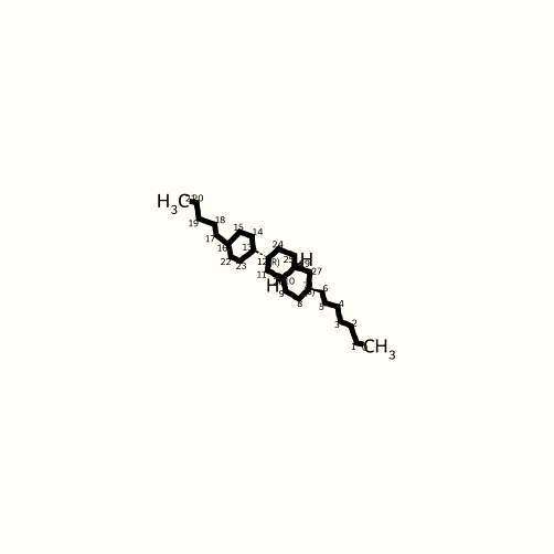 CCCCCCC[C@H]1CC[C@@H]2C[C@H](C3CCC(CCCCC)CC3)CC[C@H]2C1